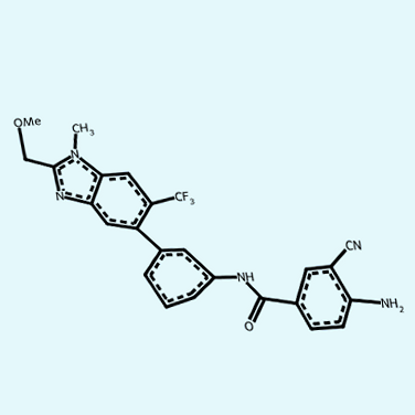 COCc1nc2cc(-c3cccc(NC(=O)c4ccc(N)c(C#N)c4)c3)c(C(F)(F)F)cc2n1C